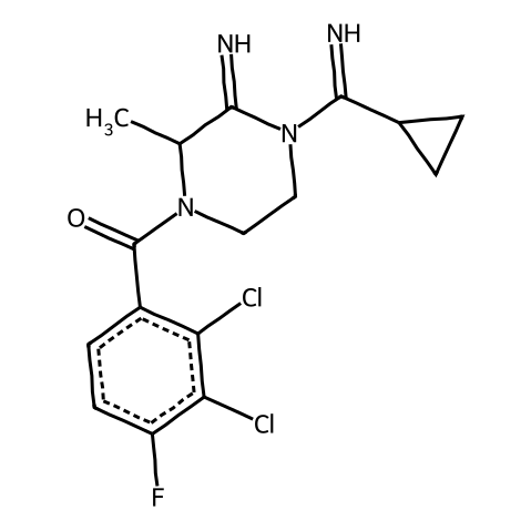 CC1C(=N)N(C(=N)C2CC2)CCN1C(=O)c1ccc(F)c(Cl)c1Cl